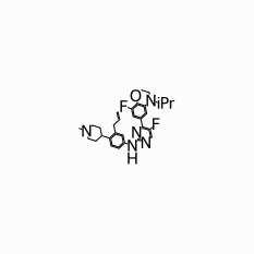 C=CCc1cc(Nc2ncc(F)c(-c3cc(F)c4c(c3)N(C(C)C)CCO4)n2)ccc1C1CCN(C)CC1